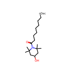 CCCCCCCCCCCCCCCCCC(=O)N1C(C)(C)CC(O)CC1(C)C